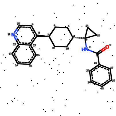 O=C(NC1([C@H]2CC[C@H](c3ccnc4ccccc43)CC2)CC1)c1ccccc1